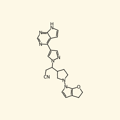 N#CCC(C1CCN(n2ccc3c2OCC3)C1)n1cc(-c2ncnc3[nH]ccc23)cn1